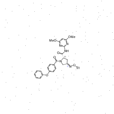 CCO/N=C1\C[C@@H](C(=O)Nc2nc(OC)cc(OC)n2)N(C(=O)c2ccc(Oc3ccccc3)cc2)C1